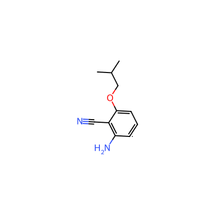 CC(C)COc1cc[c]c(N)c1C#N